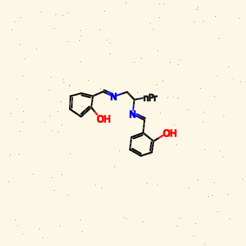 CCCC(CN=Cc1ccccc1O)N=Cc1ccccc1O